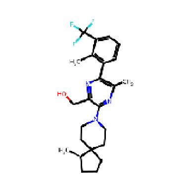 Cc1nc(N2CCC3(CCC[C@H]3C)CC2)c(CO)nc1-c1cccc(C(F)(F)F)c1C